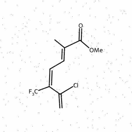 C=C(Cl)/C(=C\C=C(/C)C(=O)OC)C(F)(F)F